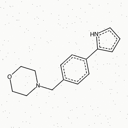 c1c[nH]c(-c2ccc(CN3CCOCC3)cc2)c1